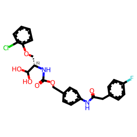 O=C(Cc1ccc(F)cc1)Nc1ccc(COC(=O)N[C@@H](COc2ccccc2Cl)C(O)O)cc1